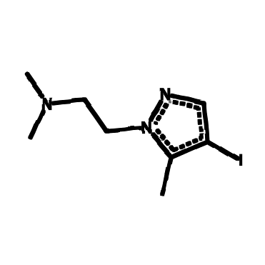 Cc1c(I)cnn1CCN(C)C